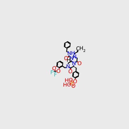 C=CCN1CC(=O)N2[C@@H](Cc3ccc(OP(=O)(O)O)cc3)C(=O)N(Cc3cccc4c3OC(F)(F)O4)C[C@@H]2N1C(=O)NCc1ccccc1